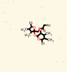 CCC1OC(OC2(COC(=O)CC(C)=O)OC(CC)C(C)C2C)C(C)C(C)C1C